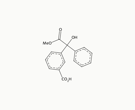 COC(=O)C(O)(c1ccccc1)c1cccc(C(=O)O)c1